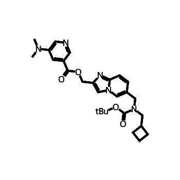 CN(C)c1cncc(C(=O)OCc2cn3cc(CN(CC4CCC4)C(=O)OC(C)(C)C)ccc3n2)c1